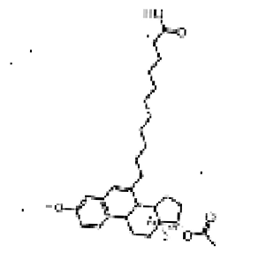 CC(=O)O[C@H]1CCC2C3C(CCCCCCCCCCC(=O)O)=Cc4cc(O)ccc4C3CC[C@@]21C